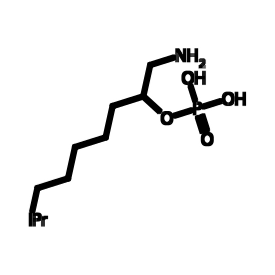 CC(C)CCCCCC(CN)OP(=O)(O)O